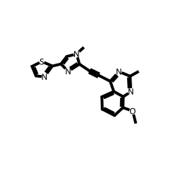 COc1cccc2c(C#Cc3nc(-c4nccs4)cn3C)nc(C)nc12